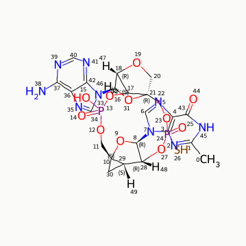 Cc1nc2c(ncn2[C@@H]2O[C@]34COP(=O)(O)O[C@H]5[C@H]6OC[C@]5(COP(=O)(S)O[C@@H]2[C@@H]3C4)O[C@H]6n2cnc3c(N)ncnc32)c(=O)[nH]1